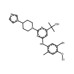 CCOc1cc(C)c(Nc2cc(C(C)(C)O)nc(N3CCC(n4ccnc4)CC3)n2)cc1C(C)C